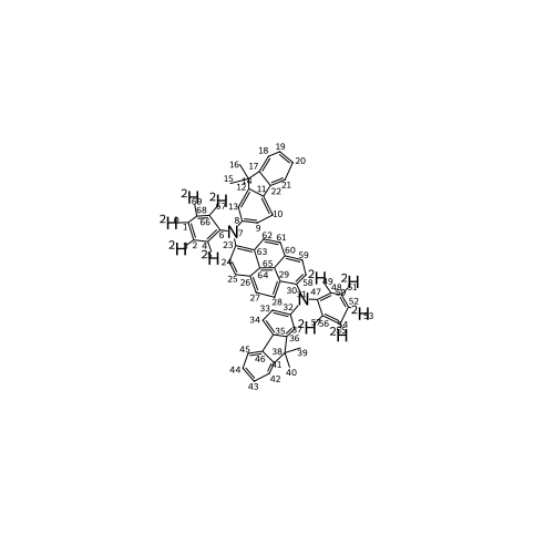 [2H]c1c([2H])c([2H])c(N(c2ccc3c(c2)C(C)(C)c2ccccc2-3)c2ccc3ccc4c(N(c5ccc6c(c5)C(C)(C)c5ccccc5-6)c5c([2H])c([2H])c([2H])c([2H])c5[2H])ccc5ccc2c3c54)c([2H])c1[2H]